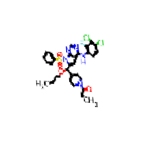 C=CC(=O)N1CCC(C(OCCCC)c2cc3c(Nc4ccc(Cl)c(Cl)c4F)ncnc3n2S(=O)(=O)c2ccccc2)CC1